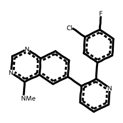 CNc1ncnc2ccc(-c3cccnc3-c3ccc(F)c(Cl)c3)cc12